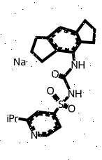 CC(C)c1cc(S(=O)(=O)NC(=O)Nc2c3c(cc4c2CCC4)CCC3)ccn1.[Na]